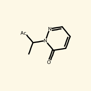 CC(=O)C(C)n1ncccc1=O